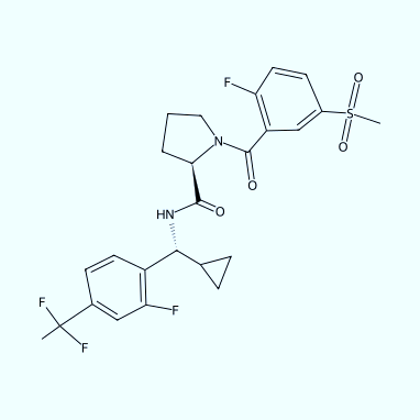 CC(F)(F)c1ccc([C@H](NC(=O)[C@H]2CCCN2C(=O)c2cc(S(C)(=O)=O)ccc2F)C2CC2)c(F)c1